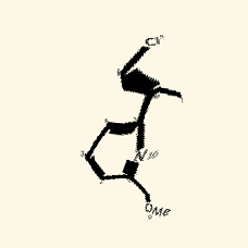 COc1cccc(C(C)=CCl)n1